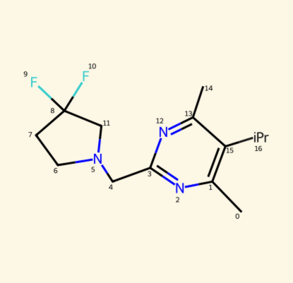 Cc1nc(CN2CCC(F)(F)C2)nc(C)c1C(C)C